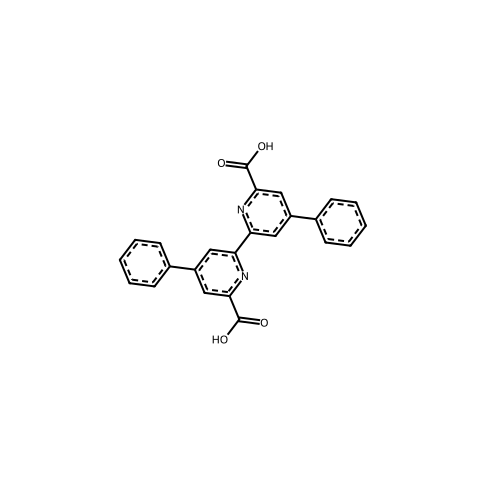 O=C(O)c1cc(-c2ccccc2)cc(-c2cc(-c3ccccc3)cc(C(=O)O)n2)n1